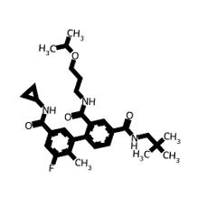 Cc1c(F)cc(C(=O)NC2CC2)cc1-c1ccc(C(=O)NCC(C)(C)C)cc1C(=O)NCCCOC(C)C